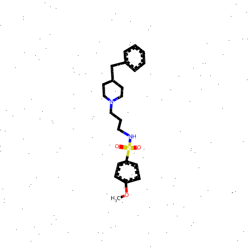 COc1ccc(S(=O)(=O)NCCCN2CCC(Cc3ccccc3)CC2)cc1